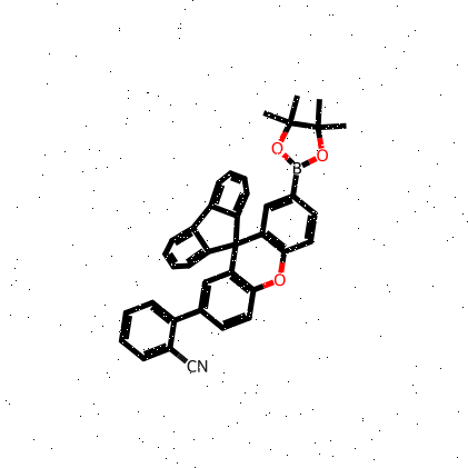 CC1(C)OB(c2ccc3c(c2)C2(c4cc(-c5ccccc5C#N)ccc4O3)c3ccccc3-c3ccccc32)OC1(C)C